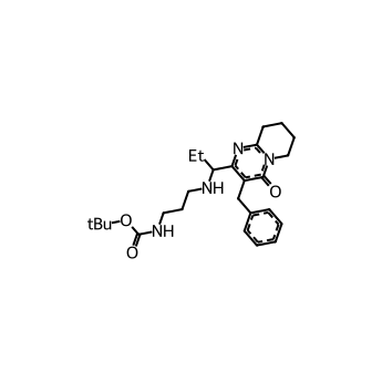 CCC(NCCCNC(=O)OC(C)(C)C)c1nc2n(c(=O)c1Cc1ccccc1)CCCC2